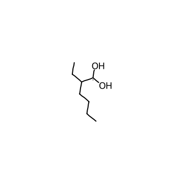 CCCCC(CC)[C](O)O